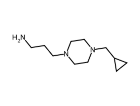 NCCCN1CCN(CC2CC2)CC1